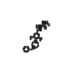 NC(=S)NN=Cc1cc(F)c(N2CCCN(Cc3ccccc3)CC2)c(F)c1